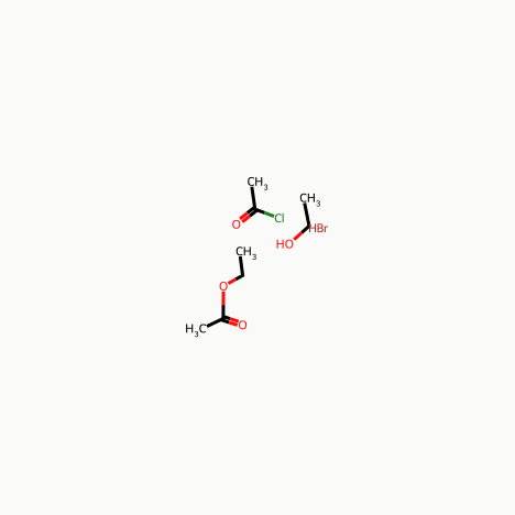 Br.CC(=O)Cl.CCO.CCOC(C)=O